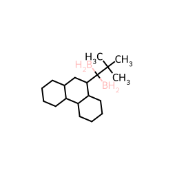 BC(B)(C1CC2CCCCC2C2CCCCC21)C(C)(C)C